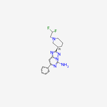 Nc1nc(-c2ccccc2)cc2nc([C@@H]3CCCN(CC(F)F)C3)nn12